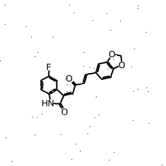 O=C(/C=C/c1ccc2c(c1)OCO2)/C=C1/C(=O)Nc2ccc(F)cc21